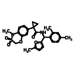 Cc1ccc(C(NC(=O)C2(c3ccc4c(c3)OCS(=O)(=O)N4C)CC2)c2ccc(C)o2)c(C)c1